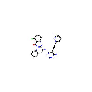 CC(Nc1ncnc(N)c1C#Cc1cccc(N)n1)c1nc2cccc(Cl)c2c(=O)n1-c1ccccc1